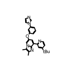 Cc1nc2c(-c3cc(C(C)(C)C)ccn3)cc(Oc3cccc(-n4ccnc4)c3)cn2c1C